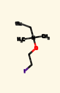 CC(C)(C)C[Si](C)(C)OCCI